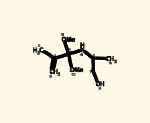 C=C(C)C(NC(C)CO)(OC)OC